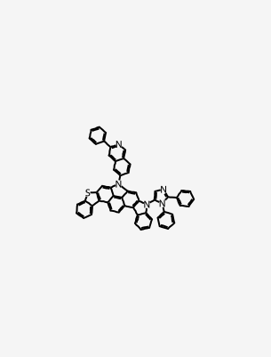 c1ccc(-c2cc3cc(-n4c5cc6sc7ccccc7c6c6ccc7c8c9ccccc9n(-c9cnc(-c%10ccccc%10)n9-c9ccccc9)c8cc4c7c65)ccc3cn2)cc1